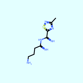 Cc1nsc(C(=N)NC(=N)CCCN)n1